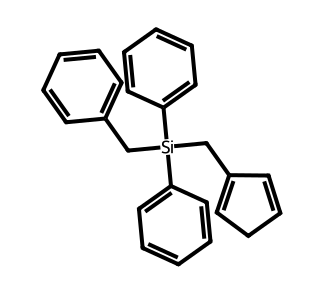 C1=CC(C[Si](Cc2ccccc2)(c2ccccc2)c2ccccc2)=CC1